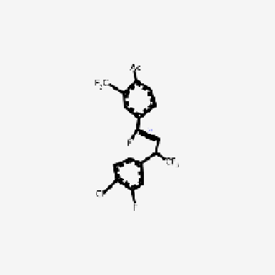 CC(=O)c1ccc(/C(F)=C/C(c2ccc(Cl)c(F)c2)C(F)(F)F)cc1C(F)(F)F